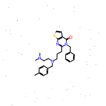 Cc1ccc(CN(CCCc2nc3sccc3c(=O)n2Cc2ccccc2)CCN(C)C)cc1